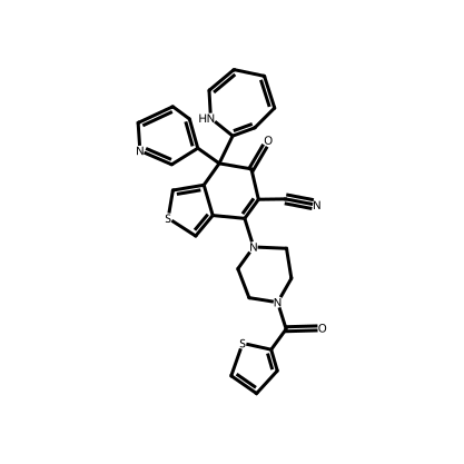 N#CC1=C(N2CCN(C(=O)c3cccs3)CC2)c2cscc2C(C2=CC=CC=CN2)(c2cccnc2)C1=O